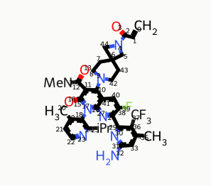 C=CC(=O)N1CC2(CCN(c3c(C(=O)NC)c(=O)n(-c4c(C)ccnc4C(C)C)c4nc(-c5nc(N)cc(C)c5C(F)(F)F)c(F)cc34)CC2)C1